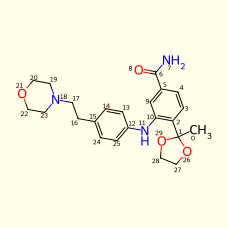 CC1(c2ccc(C(N)=O)cc2Nc2ccc(CCN3CCOCC3)cc2)OCCO1